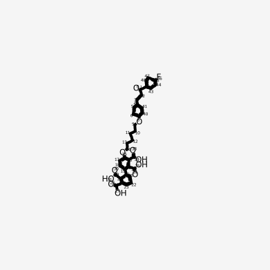 O=C(C=Cc1ccc(OCCCCCCOc2ccc(-c3cccc(C(=O)O)c3C(=O)O)c(C(=O)O)c2C(=O)O)cc1)c1ccc(F)cc1